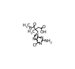 COC(=O)C(C)(CC(=O)O)Cn1cnc2c(Cl)nc(N)nc21